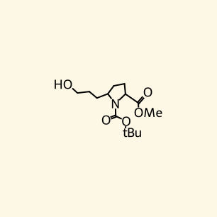 COC(=O)C1CCC(CCCO)N1C(=O)OC(C)(C)C